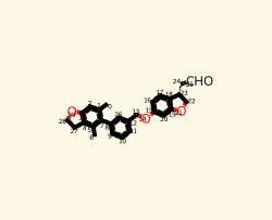 Cc1cc2c(c(C)c1-c1cccc(COc3ccc4c(c3)OC[C@H]4CC=O)c1)CCO2